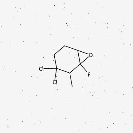 CC1C(Cl)(Cl)CCC2OC21F